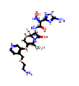 NCCSCc1ccncc1SC1=C(C(=O)O)N2C(=O)[C@@H](NC(=O)C(NO)c3nsc(N)n3)[C@@H]2SC1